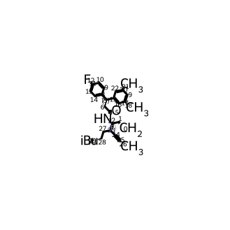 C=C/C(NC(=O)C[C@@H](c1ccc(F)cc1)c1cc(C)cc(C)c1)=C(\C#CC)CC[C@H](C)CC